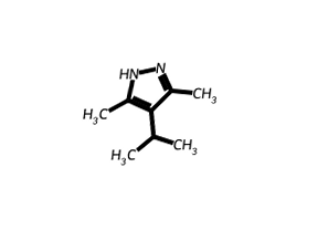 Cc1n[nH]c(C)c1C(C)C